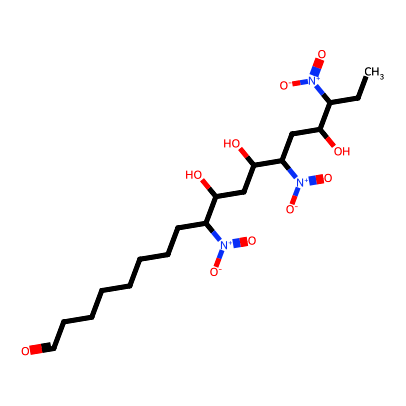 CCC(C(O)CC(C(O)CC(O)C(CCCCCCCC=O)[N+](=O)[O-])[N+](=O)[O-])[N+](=O)[O-]